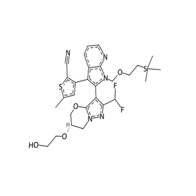 Cc1cc(-c2c(-c3c(C(F)F)nn4c3OC[C@@H](OCCO)C4)n(COCC[Si](C)(C)C)c3ncccc23)c(C#N)s1